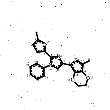 Cc1ccc(-c2nc(-c3sc(C)c4c3OCCO4)cn2-c2ccccc2)s1